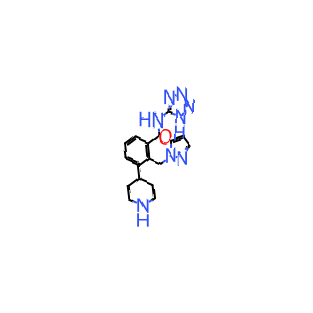 O=C(Nc1nnn[nH]1)c1cccc(C2CCNCC2)c1Cn1cccn1